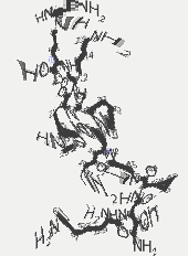 N=C(N)NCC/C=C(\NC(=O)[C@H](CCCCN)NC(=O)[C@H](Cc1cnc[nH]1)NC(=O)[C@@H]1CCCN1C(=O)/C(CCCN)=N/C(=O)CNC(=O)C(NC(=O)[C@@H](NC(=O)[C@@H](N)CCCCN)[C@@H](O)CN)C1CC1)C(=O)O